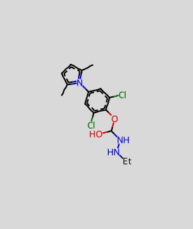 CCNNC(O)Oc1c(Cl)cc(-n2c(C)ccc2C)cc1Cl